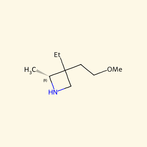 CCC1(CCOC)CN[C@@H]1C